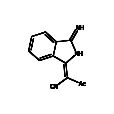 [C-]#[N+]/C(C(C)=O)=C1/NC(=N)c2ccccc21